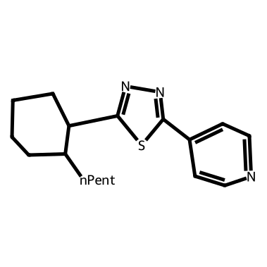 CCCCCC1CCCCC1c1nnc(-c2ccncc2)s1